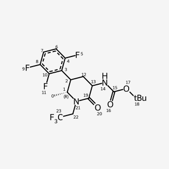 C[C@@H]1C(c2c(F)ccc(F)c2F)CC(NC(=O)OC(C)(C)C)C(=O)N1CC(F)(F)F